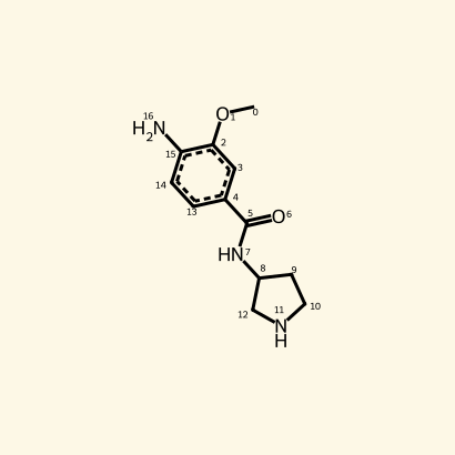 COc1cc(C(=O)NC2CCNC2)ccc1N